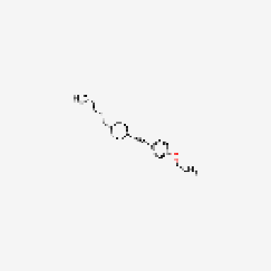 CCCCCC1CC=C(C#Cc2ccc(OCC)cc2)CC1